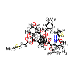 COc1ccc(OC)c(C(=O)O[C@H]2[C@@H]3[C@]4(OC(C)=O)CO[C@@H]4C[C@H]4O[C@@H]([C@H](OC(=O)CCCSSC)C5=C(C)[C@@H](OC(=O)[C@H](O[Si](C(C)C)(C(C)C)C(C)C)[C@H](C=C(C)C)NC(=O)c6cccs6)C[C@]2(O)C5(C)C)[C@@]34C)c1